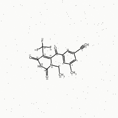 C#Cc1cc(C)cc(C(=O)c2c(C(F)(F)F)c(=O)[nH]c(=O)n2CC)c1